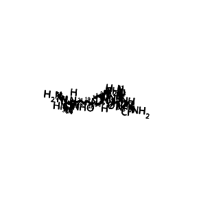 NN=NC1=C(Cl)N=C(C(=O)NC2NC3(CCN(C(=O)CCCC4NC5=C(N4)C(N=NN)NC=N5)CC3)CN2N)C(N=NN)N1